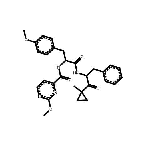 COc1ccc(CC(NC(=O)c2ccnc(OC)n2)C(=O)NC(Cc2ccccc2)C(=O)C2(C)CC2)cc1